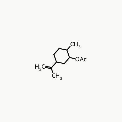 C=C(C)C1CCC(C)C(OC(C)=O)C1